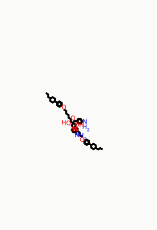 CCCC1CCC(c2ccc(OCCCCCC(=O)C(O)C(Cc3ccc(N)cc3)(Cc3ccc(N)cc3)C(O)C(=O)CCCCCOc3ccc(C4CCC(CCC)CC4)cc3)cc2)CC1